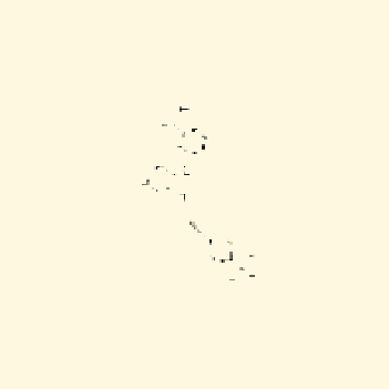 Cc1ccc(Oc2cccc(C(=O)O)c2C)c(OCC#Cc2ccc(C(F)(F)F)cc2)c1